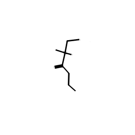 CCCC(=O)C(C)(C)CC